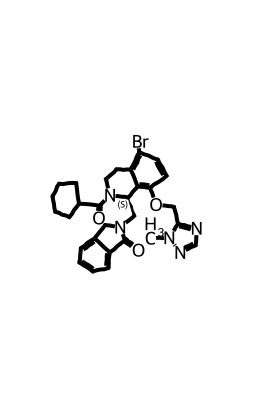 Cn1ncnc1COc1ccc(Br)c2c1[C@@H](CN1Cc3ccccc3C1=O)N(C(=O)C1CCCCC1)CC2